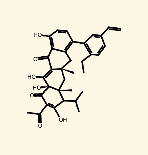 C=Cc1ccc(CC)c(-c2ccc(O)c3c2C[C@]2(C)C[C@]4(C)C(C(C)C)C(O)=C(C(C)=O)C(=O)[C@]4(O)C(O)=C2C3=O)c1